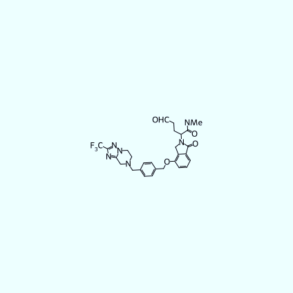 CNC(=O)C(CCC=O)N1Cc2c(OCc3ccc(CN4CCn5nc(C(F)(F)F)nc5C4)cc3)cccc2C1=O